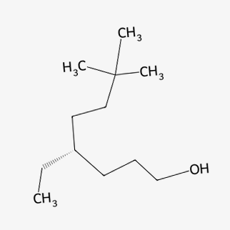 CC[C@@H](CCCO)CCC(C)(C)C